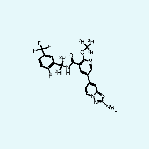 [2H]C([2H])([2H])Oc1ncc(-c2ccn3nc(N)nc3c2)cc1C(=O)NC([2H])([2H])c1cc(C(F)(F)F)ccc1F